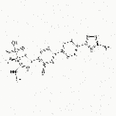 Cn1nnc(-c2ccc(-c3ccn(CC[C@](C)(C(=O)NO)S(C)(=O)=O)c(=O)c3)cc2)n1